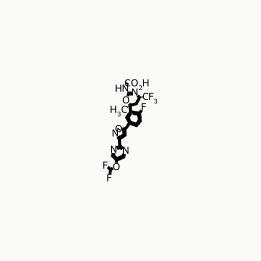 C[C@@]1(c2cc(-c3cc(-c4ncc(OC(F)F)cn4)no3)ccc2F)C[C@@H](C(F)(F)F)N=C(NC(=O)O)O1